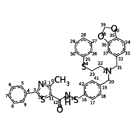 Cc1nc(-c2ccccc2)sc1C(=O)NSc1ccc(CN(CCSc2ccccc2)Cc2ccc3c(c2)OCO3)cc1